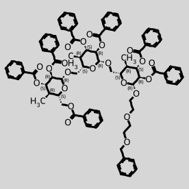 C[C@H]1[C@H](OC(=O)c2ccccc2)[C@@H](OC(=O)c2ccccc2)[C@H](OC[C@H]2O[C@@H](OC[C@H]3O[C@@H](OCCOCCOCc4ccccc4)[C@H](OC(=O)c4ccccc4)[C@@H](OC(=O)c4ccccc4)[C@@H]3C)[C@H](OC(=O)c3ccccc3)[C@@H](OC(=O)c3ccccc3)[C@@H]2C)O[C@@H]1COC(=O)c1ccccc1